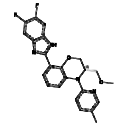 COC[C@H]1COc2c(-c3nc4cc(F)c(F)cc4[nH]3)cccc2N1c1ccc(C)cn1